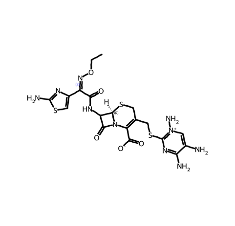 CCO/N=C(\C(=O)NC1C(=O)N2C(C(=O)[O-])=C(CSc3nc(N)c(N)c[n+]3N)CS[C@H]12)c1csc(N)n1